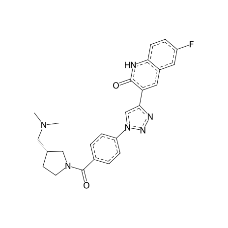 CN(C)C[C@H]1CCN(C(=O)c2ccc(-n3cc(-c4cc5cc(F)ccc5[nH]c4=O)nn3)cc2)C1